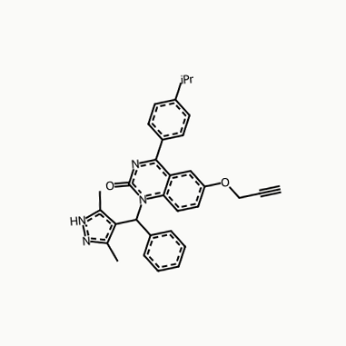 C#CCOc1ccc2c(c1)c(-c1ccc(C(C)C)cc1)nc(=O)n2C(c1ccccc1)c1c(C)n[nH]c1C